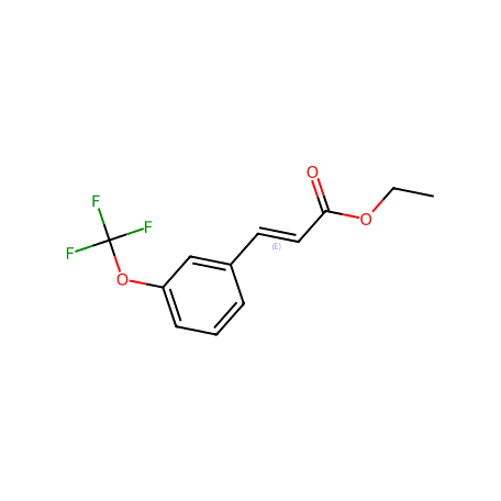 CCOC(=O)/C=C/c1cccc(OC(F)(F)F)c1